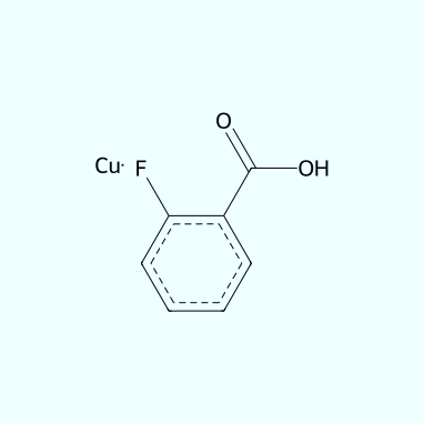 O=C(O)c1ccccc1F.[Cu]